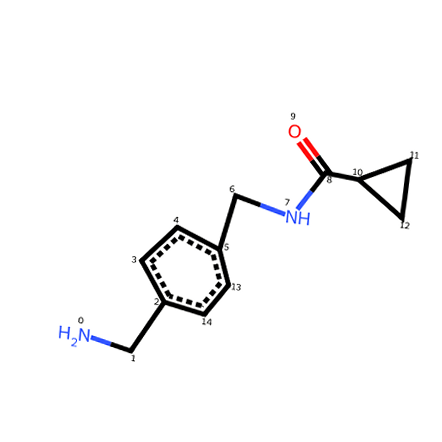 NCc1ccc(CNC(=O)C2CC2)cc1